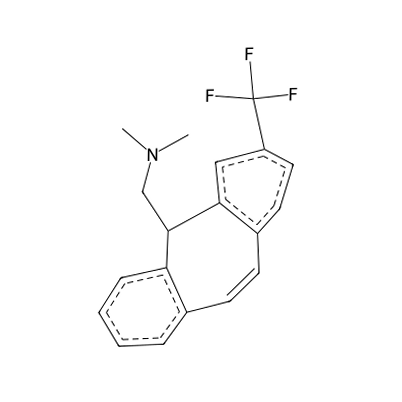 CN(C)CC1c2ccccc2C=Cc2ccc(C(F)(F)F)cc21